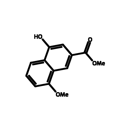 COC(=O)c1cc(O)c2cccc(OC)c2c1